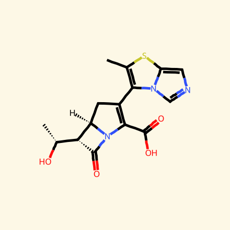 Cc1sc2cncn2c1C1=C(C(=O)O)N2C(=O)[C@H]([C@@H](C)O)[C@H]2C1